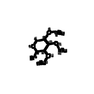 CCCCOC1C(Br)OC[C@@H](OCCCC)C1OCCCC